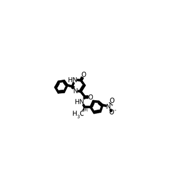 C[C@@H](NC(=O)c1cc(=O)[nH]c(-c2ccccc2)n1)c1ccc([N+](=O)[O-])cc1